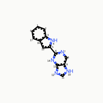 c1ccc2[nH]c(-c3ncc4[nH]cnc4n3)cc2c1